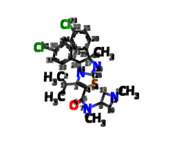 CC(C)C1=C(C(=O)N(C)C2CN(C)C2)SC2=NC(C)(c3ccc(Cl)cc3)C(c3ccc(Cl)cc3)N21